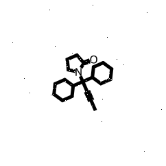 CC#CC(C1CCCCC1)(C1CCCCC1)N1CCCC1=O